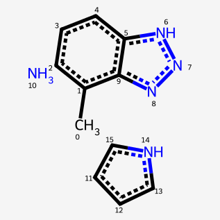 Cc1cccc2[nH]nnc12.N.c1cc[nH]c1